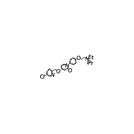 CCN(CCOc1ccc(-n2ccc(OCc3ccc(Cl)cn3)cc2=O)cc1)C(C)C